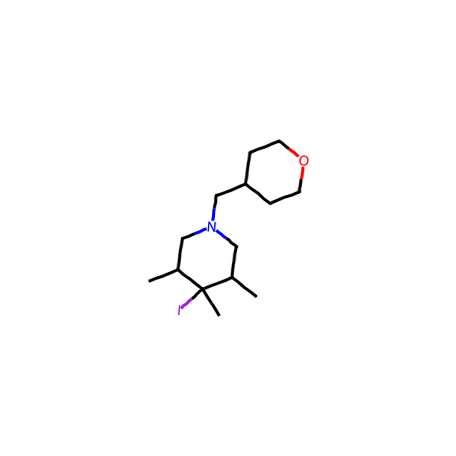 CC1CN(CC2CCOCC2)CC(C)C1(C)I